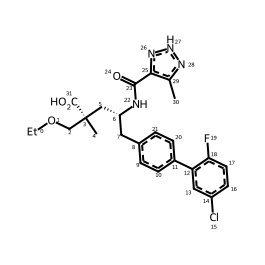 CCOC[C@](C)(C[C@@H](Cc1ccc(-c2cc(Cl)ccc2F)cc1)NC(=O)c1n[nH]nc1C)C(=O)O